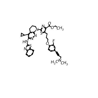 CCOC(=O)c1nc(N2CCCc3c2nnc(Nc2nc4ccccc4s2)c3C2CC2)sc1CCCOc1ccc(C#CCN(C)C)cc1F